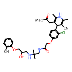 COC(=O)CC1=C(C)NC(C)=C(C#N)C1c1ccc(OCC(=O)NCC(C)(C)NCC(O)COc2ccccc2C#N)cc1Cl